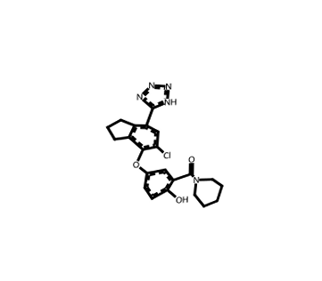 O=C(c1cc(Oc2c(Cl)cc(-c3nnn[nH]3)c3c2CCC3)ccc1O)N1CCCCC1